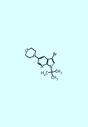 CC(C)(C)n1cc(Br)c2cc(N3CCOCC3)cnc21